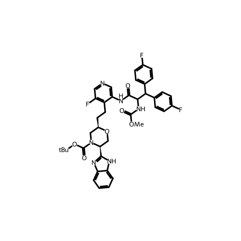 COC(=O)NC(C(=O)Nc1cncc(F)c1CC[C@@H]1CN(C(=O)OC(C)(C)C)[C@H](c2nc3ccccc3[nH]2)CO1)C(c1ccc(F)cc1)c1ccc(F)cc1